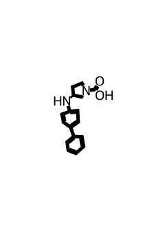 O=C(O)N1CC[C@H](Nc2ccc(-c3ccccc3)cc2)C1